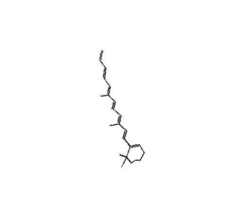 C=C/C=C/C=C(C)/C=C/C=C(C)/C=C/C1=CCCCC1(C)C